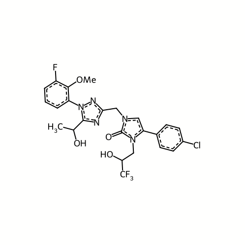 COc1c(F)cccc1-n1nc(Cn2cc(-c3ccc(Cl)cc3)n(CC(O)C(F)(F)F)c2=O)nc1C(C)O